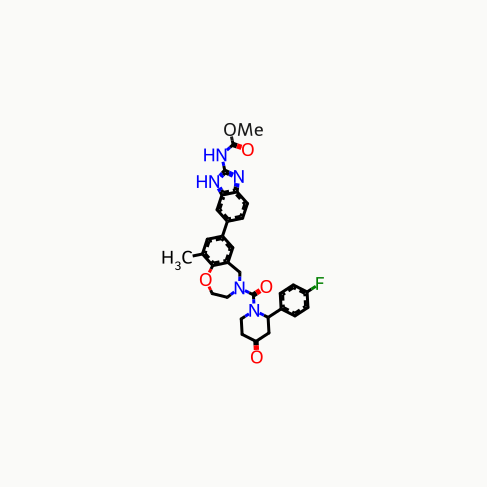 COC(=O)Nc1nc2ccc(-c3cc(C)c4c(c3)CN(C(=O)N3CCC(=O)CC3c3ccc(F)cc3)CCO4)cc2[nH]1